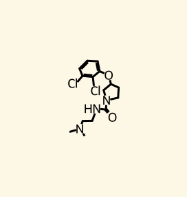 CN(C)CCNC(=O)N1CCC(Oc2cccc(Cl)c2Cl)C1